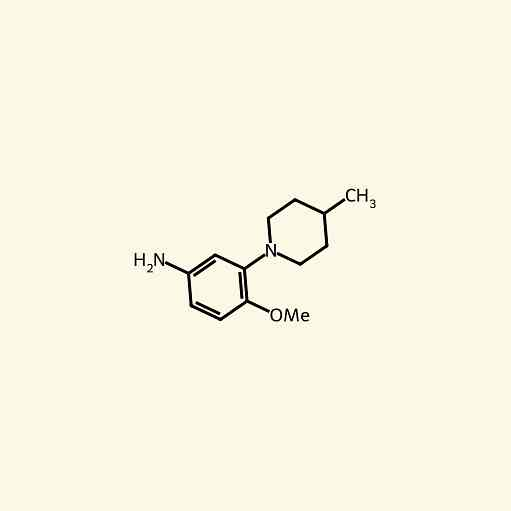 COc1ccc(N)cc1N1CCC(C)CC1